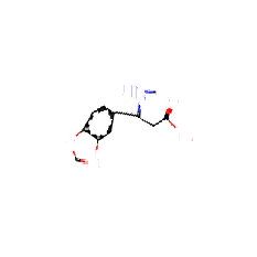 CNC(CC(=O)O)c1ccc2c(c1)OCO2